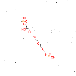 CP(=O)(O)OCCOCCOCCOCCOCC(O)COP(C)(=O)O